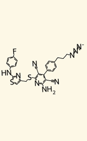 N#Cc1c(N)nc(SCc2csc(Nc3ccc(F)cc3)n2)c(C#N)c1-c1ccc(CCCN=[N+]=[N-])cc1